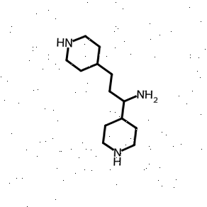 NC(CCC1CCNCC1)C1CCNCC1